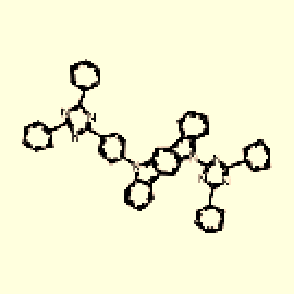 c1ccc(-c2nc(-c3ccccc3)nc(-c3ccc(-n4c5ccccc5c5cc6c(cc54)c4ccccc4n6-c4nc(-c5ccccc5)nc(-c5ccccc5)n4)cc3)n2)cc1